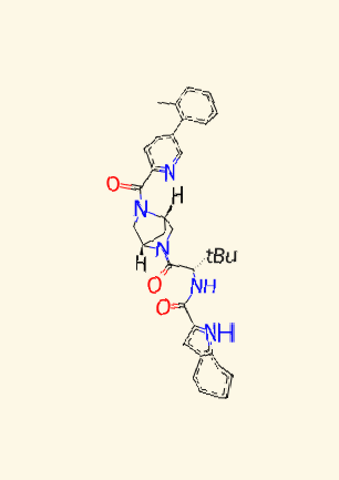 Cc1ccccc1-c1ccc(C(=O)N2C[C@@H]3C[C@H]2CN3C(=O)[C@@H](NC(=O)c2cc3ccccc3[nH]2)C(C)(C)C)nc1